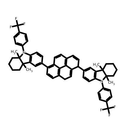 CC12CCCCC1(C)N(c1ccc(C(F)(F)F)cc1)c1ccc(-c3ccc4c5c6c(ccc35)C=CC(c3ccc5c(c3)C3(C)CCCCC3(C)N5c3ccc(C(F)(F)F)cc3)C6=CC4)cc12